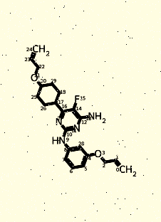 C=CCOc1cccc(Nc2nc(N)c(F)c(C3CCC(OCC=C)CC3)n2)c1